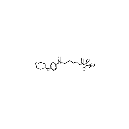 CC(C)(C)S(=O)(=O)NCCCCCNc1ccc(OC2CCOCC2)cc1